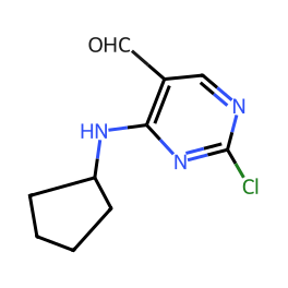 O=Cc1cnc(Cl)nc1NC1CCCC1